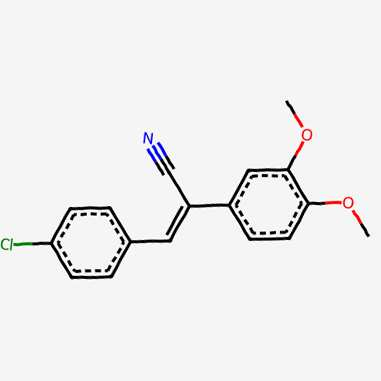 COc1ccc(/C(C#N)=C/c2ccc(Cl)cc2)cc1OC